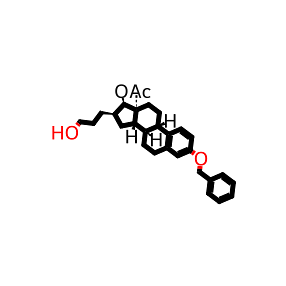 CC(=O)O[C@H]1[C@H](CCCO)C[C@H]2[C@@H]3CCc4cc(OCc5ccccc5)ccc4[C@H]3CC[C@@]21C